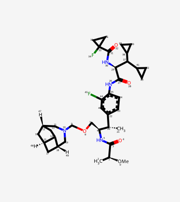 CO[C@@H](C)C(=O)N[C@@H](COCN1C[C@@H]2CC3[C@H](C2)C[C@H]3C1)[C@@H](C)c1ccc(NC(=O)[C@@H](NC(=O)C2(F)CC2)C(C2CC2)C2CC2)c(F)c1